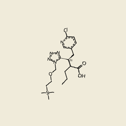 CCCC(C(=O)O)[C@H](Cc1ccc(Cl)nc1)c1nnnn1COCC[Si](C)(C)C